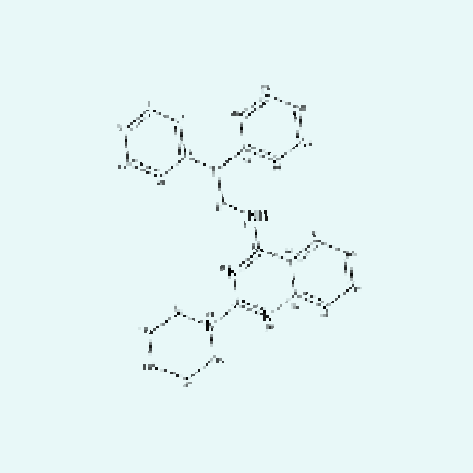 c1ccc(C(CNc2nc(N3CCCCC3)nc3ccccc23)c2ccccc2)cc1